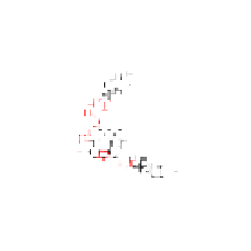 O=C([O-])[O-].O=C([O-])[O-].O=C([O-])[O-].O=C([O-])[O-].[Cu+2].[Cu+2].[Cu+2].[Ni+2].[Ni+2].[Ni+2].[OH-].[OH-].[OH-].[OH-]